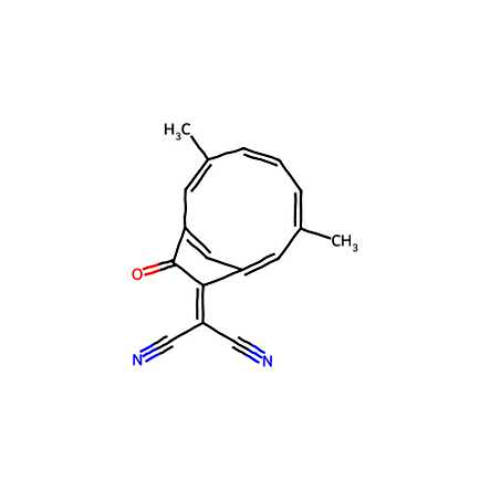 Cc1cccc(C)cc2cc(c1)C(=O)C2=C(C#N)C#N